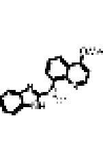 COc1ccnc2c([S+]([O-])c3nc4ccccc4[nH]3)cccc12